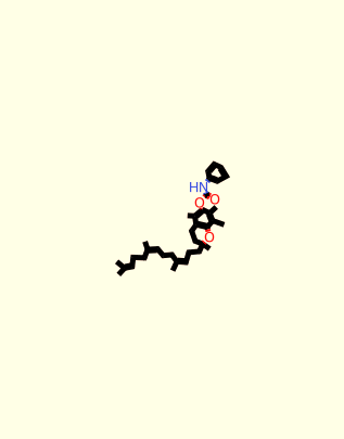 CC(C)=CCCC(C)=CCCC(C)=CCCC1(C)CCc2c(C)c(OC(=O)Nc3ccccc3)c(C)c(C)c2O1